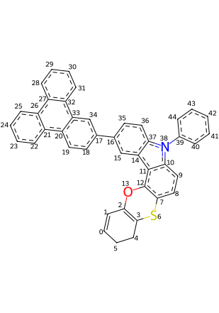 C1=CC2=C(CC1)Sc1ccc3c(c1O2)c1cc(-c2ccc4c5ccccc5c5ccccc5c4c2)ccc1n3-c1ccccc1